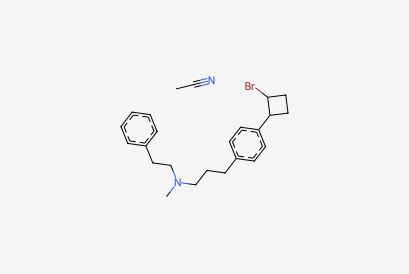 CC#N.CN(CCCc1ccc(C2CCC2Br)cc1)CCc1ccccc1